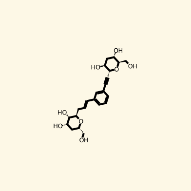 OC[C@@H]1C[C@H](O)[C@H](O)[C@@H](C/C=C/c2cccc(C#C[C@H]3O[C@H](CO)[C@@H](O)C[C@@H]3O)c2)O1